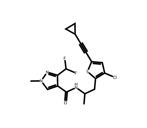 CC(Cc1sc(C#CC2CC2)cc1Cl)NC(=O)c1cn(C)nc1C(F)F